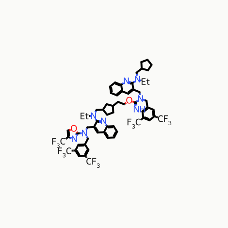 CCN(CC1CCCC1)c1nc2ccccc2cc1CN(Cc1cc(C(F)(F)F)cc(C(F)(F)F)c1)C(=N)OCCC1CCC(CN(CC)c2nc3ccccc3cc2CN(Cc2cc(C(F)(F)F)cc(C(F)(F)F)c2)c2nc(C(F)(F)F)co2)C1